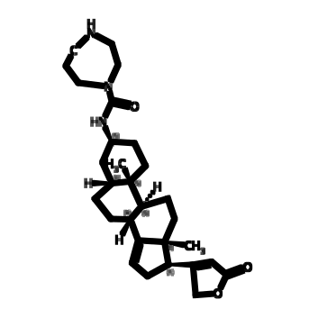 C[C@]12CC[C@H](NC(=O)N3CCCNCC3)C[C@H]1CC[C@H]1C3=CC[C@H](C4=CC(=O)OC4)[C@@]3(C)CC[C@@H]12